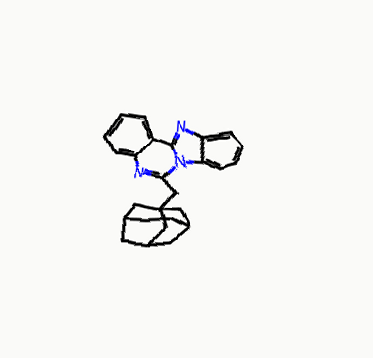 c1ccc2c(c1)nc(CC13CC4CC(CC(C4)C1)C3)n1c3ccccc3nc21